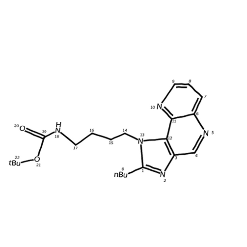 CCCCc1nc2cnc3cccnc3c2n1CCCCNC(=O)OC(C)(C)C